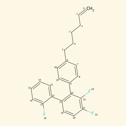 C=CCCCCc1ccc(-c2c(-c3ccccc3F)ccc(F)c2F)cc1